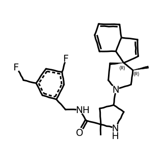 C[C@H]1CN(C2CNC(C)(C(=O)NCc3cc(F)cc(CF)c3)C2)CC[C@@]12C=CC1C=CC=CC12